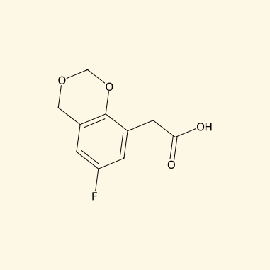 O=C(O)Cc1cc(F)cc2c1OCOC2